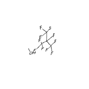 CO.FC(F)(F)C(F)(C(F)(F)F)C(F)(F)F